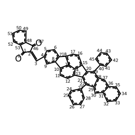 O=C1C(=Cc2ccc3c(c2)-c2ccc4c5c(ccc-3c25)-c2c-4c(-c3ccccc3)c3cc4ccccc4cc3c2-c2ccccc2)C(=O)c2ccccc21